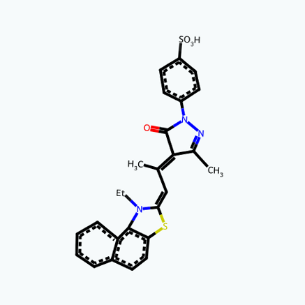 CCN1C(=CC(C)=C2C(=O)N(c3ccc(S(=O)(=O)O)cc3)N=C2C)Sc2ccc3ccccc3c21